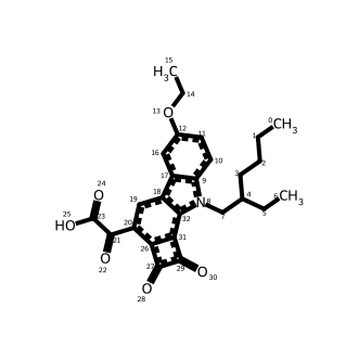 CCCCC(CC)Cn1c2ccc(OCC)cc2c2cc(C(=O)C(=O)O)c3c(=O)c(=O)c3c21